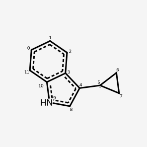 c1ccc2c([C]3CC3)c[nH]c2c1